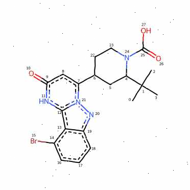 CC(C)(C)C1CC(c2cc(=O)[nH]c3c4c(Br)cccc4nn23)CCN1C(=O)O